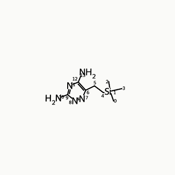 C[Si](C)(C)CCc1nnc(N)nc1N